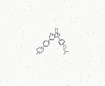 CC(C)COc1ccc(-c2n[nH]c3ncc(-c4ccc(N5CCN(C)CC5)cc4)cc23)cc1